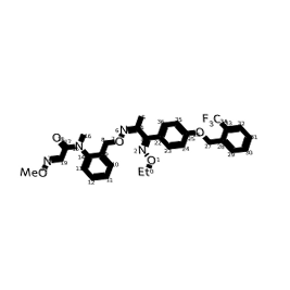 CCON=C(C(C)=NOCc1ccccc1N(C)C(=O)C=NOC)c1ccc(OCc2ccccc2C(F)(F)F)cc1